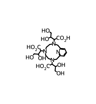 O=C(O)C(C(O)CO)N1CCN(C(C(=O)O)C(O)CO)Cc2cccc(n2)CN(C(C(=O)O)C(O)CO)CC1